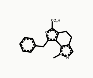 Cn1ncc2c1-c1c(Cc3ccccc3)sc(C(=O)O)c1CC2